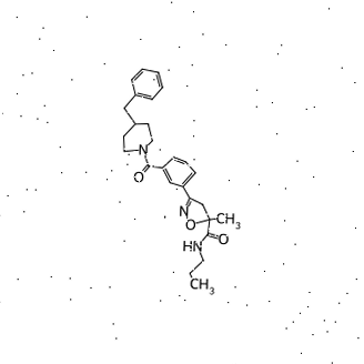 CCCNC(=O)C1(C)CC(c2cccc(C(=O)N3CCC(Cc4ccccc4)CC3)c2)=NO1